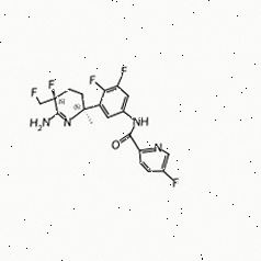 C[C@@]1(c2cc(NC(=O)c3ccc(F)cn3)cc(F)c2F)CC[C@@](F)(CF)C(N)=N1